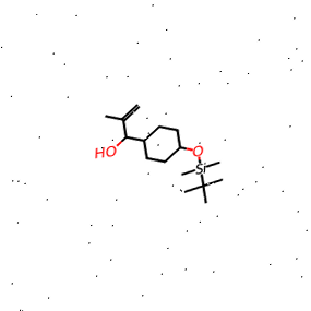 C=C(C)C(O)C1CCC(O[Si](C)(C)C(C)(C)C)CC1